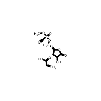 C=CC(=O)O.COP(=O)(C#N)OC.O=C1CC(O)C(=O)O1